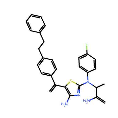 C=C(c1ccc(CCc2ccccc2)cc1)c1sc(N(c2ccc(F)cc2)C(C)C(=C)N)nc1N